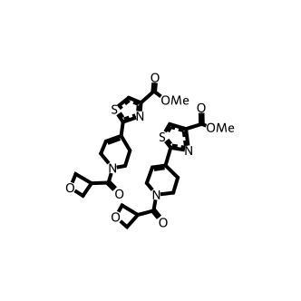 COC(=O)c1csc(C2=CCN(C(=O)C3COC3)CC2)n1.COC(=O)c1csc(C2=CCN(C(=O)C3COC3)CC2)n1